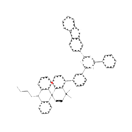 CCCCC1c2ccccc2C2(c3ccccc31)c1ccccc1C(C)(C)c1c(-c3cccc(-c4nc(-c5ccccc5)nc(-c5ccc6c(c5)sc5ccccc56)n4)c3)cccc12